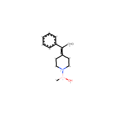 CB(O)N1CCC(=C(C=O)c2ccccc2)CC1